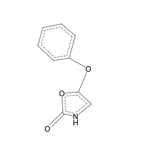 O=c1[nH]cc(Oc2ccccc2)o1